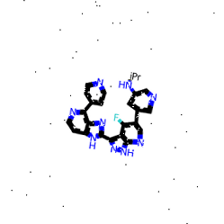 CC(C)Nc1cncc(-c2cnc3[nH]nc(-c4nc5c(-c6ccncc6)nccc5[nH]4)c3c2F)c1